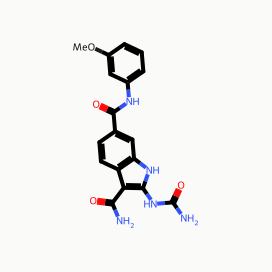 COc1cccc(NC(=O)c2ccc3c(C(N)=O)c(NC(N)=O)[nH]c3c2)c1